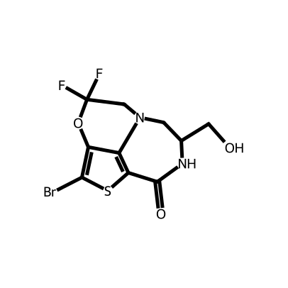 O=C1NC(CO)CN2CC(F)(F)Oc3c(Br)sc1c32